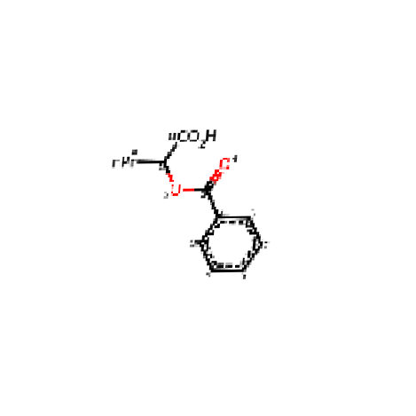 CCCC(OC(=O)c1ccccc1)C(=O)O